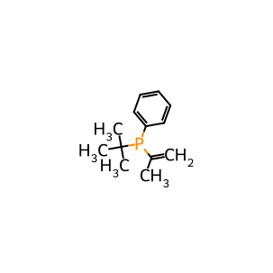 C=C(C)P(c1ccccc1)C(C)(C)C